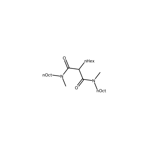 CCCCCCCCN(C)C(=O)C(CCCCCC)C(=O)N(C)CCCCCCCC